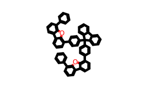 c1ccc(-c2cccc3c2oc2c(-c4ccc(C5(c6ccc(-c7cccc8c7oc7c(-c9ccccc9)cccc78)cc6)c6ccccc6-c6ccccc65)cc4)cccc23)cc1